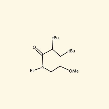 CCN(CCOC)C(=O)C(CC(C)(C)C)C(C)(C)C